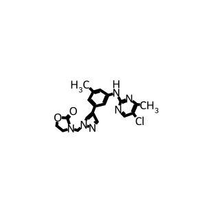 Cc1cc(Nc2ncc(Cl)c(C)n2)cc(-c2cnn(CN3CCOC3=O)c2)c1